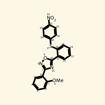 COc1ccccc1-c1noc(-c2ccccc2Sc2ccc([N+](=O)[O-])cc2)n1